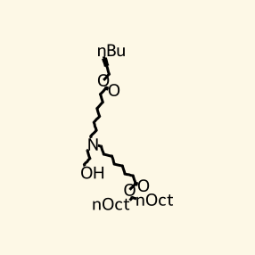 CCCCC#CCOC(=O)CCCCCCCN(CCCO)CCCCCCCC(=O)OC(CCCCCCCC)CCCCCCCC